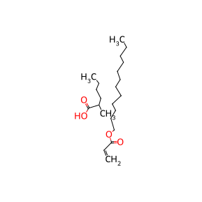 C=CC(=O)OCCCCCCCCCCCC.CCCCC(C)C(=O)O